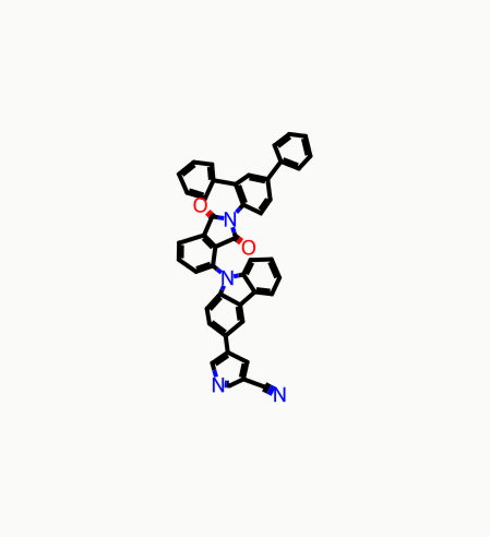 N#Cc1cncc(-c2ccc3c(c2)c2ccccc2n3-c2cccc3c2C(=O)N(c2ccc(-c4ccccc4)cc2-c2ccccc2)C3=O)c1